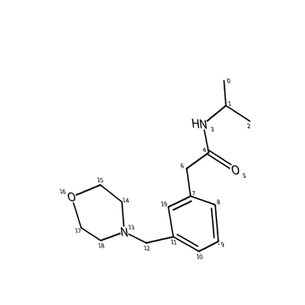 CC(C)NC(=O)Cc1c[c]cc(CN2CCOCC2)c1